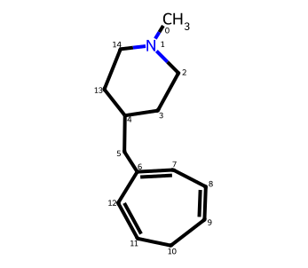 CN1CCC(CC2=CC=CCC=C2)CC1